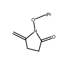 C=C1CCC(=O)N1OC(C)C